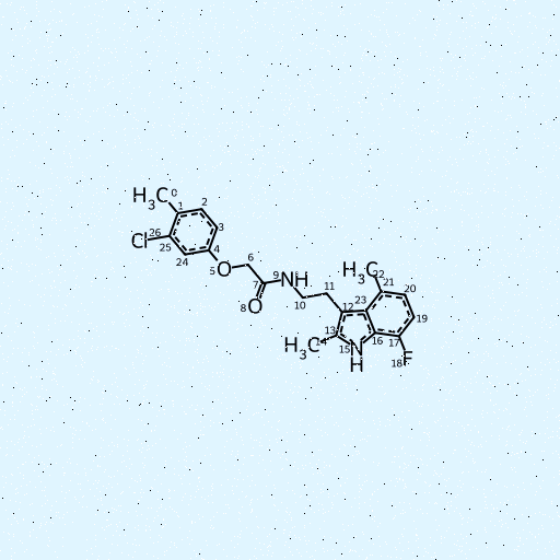 Cc1ccc(OCC(=O)NCCc2c(C)[nH]c3c(F)ccc(C)c23)cc1Cl